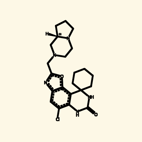 O=C1Nc2c(Cl)cc3nc(CN4CCN5CCC[C@H]5C4)oc3c2C2(CCCCC2)N1